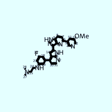 COc1cncc(-c2ccc3[nH]nc(-c4cc5c(-c6cc(F)cc(NCCN(C)C)c6)ccnc5[nH]4)c3n2)c1